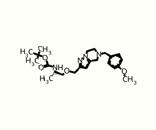 COc1ccc(CN2CCn3nc(COC[C@H](C)NC(=O)OC(C)(C)C)cc3C2)cc1